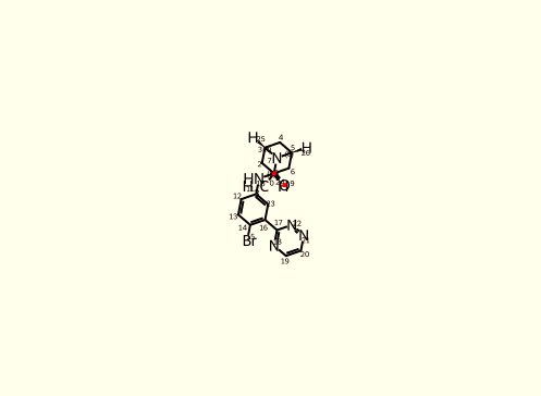 C[C@@H]1C[C@@H]2C[C@H](C1)N2C(=O)Nc1ccc(Br)c(-c2nccnn2)c1